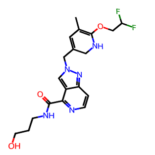 CC1=C(OCC(F)F)NCC(Cn2cc3c(C(=O)NCCCO)nccc3n2)=C1